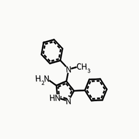 CN(c1ccccc1)c1c(-c2ccccc2)n[nH]c1N